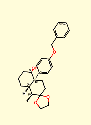 C[C@H]1[C@@H]2CCC[C@H](O)[C@@]2(c2ccc(OCc3ccccc3)cc2)CCC12OCCO2